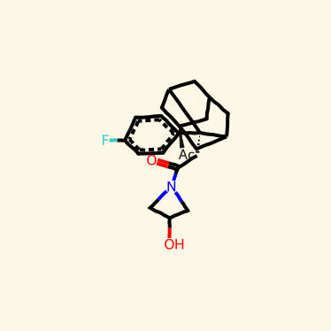 CC(=O)[C@]12CC3CC(C1)[C@](CC(=O)N1CC(O)C1)(c1ccc(F)cc1)C(C3)C2